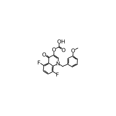 COc1cccc(Cn2cc(OC(=O)O)c(=O)c3c(F)ccc(F)c32)c1